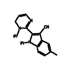 Cc1ccc2c(c1)c(C#N)c(C1=NC=CCN1C(C)C)n2C(C)C